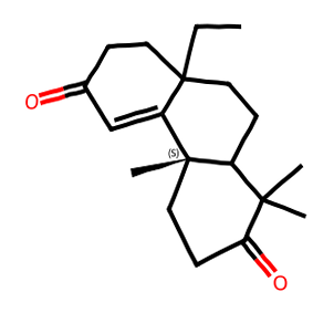 CCC12CCC(=O)C=C1[C@@]1(C)CCC(=O)C(C)(C)C1CC2